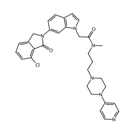 CN(CCCN1CCN(c2ccncc2)CC1)C(=O)Cn1ccc2ccc(N3Cc4cccc(Cl)c4C3=O)cc21